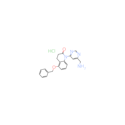 Cl.NCc1cc(N2C(=O)CCc3c(OCc4ccccc4)cccc32)ncn1